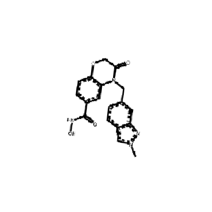 Cn1cc2ccc(CN3C(=O)COc4ccc(C(=O)NO)cc43)cc2n1